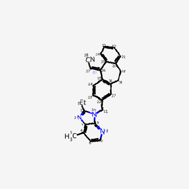 CCc1nc2c(C)ccnc2n1Cc1ccc2c(c1)CCc1ccccc1/C2=C\C#N